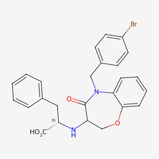 O=C(O)[C@H](Cc1ccccc1)NC1COc2ccccc2N(Cc2ccc(Br)cc2)C1=O